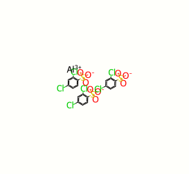 O=S(=O)([O-])c1ccc(Cl)cc1Cl.O=S(=O)([O-])c1ccc(Cl)cc1Cl.O=S(=O)([O-])c1ccc(Cl)cc1Cl.[Al+3]